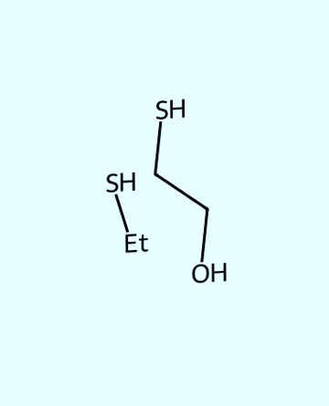 CCS.OCCS